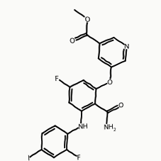 COC(=O)c1cncc(Oc2cc(F)cc(Nc3ccc(I)cc3F)c2C(N)=O)c1